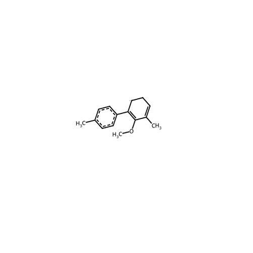 COC1=C(c2ccc(C)cc2)[CH]CC=C1C